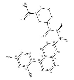 C[C@H](C(=O)N1CCC[C@H](C(=O)O)C1)N(C)c1ccc2c(-c3ccc(F)cc3Cl)ccnc2c1